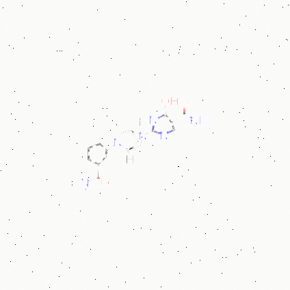 CN(C)C(=O)c1cccc(N2C[C@@H]3C[C@H]2CN3c2ncc(C(N)=O)c(O)n2)c1